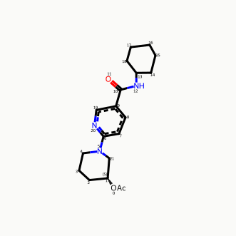 CC(=O)O[C@H]1CCCN(c2ccc(C(=O)NC3CCCCC3)cn2)C1